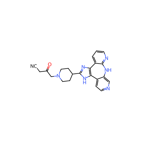 N#CCC(=O)CN1CCC(c2nc3c([nH]2)-c2ccncc2Nc2ncccc2-3)CC1